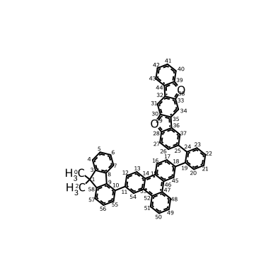 CC1(C)c2ccccc2-c2c(-c3ccc4c5ccc(-c6ccccc6-c6ccc7oc8cc9c(cc8c7c6)oc6ccccc69)cc5c5ccccc5c4c3)cccc21